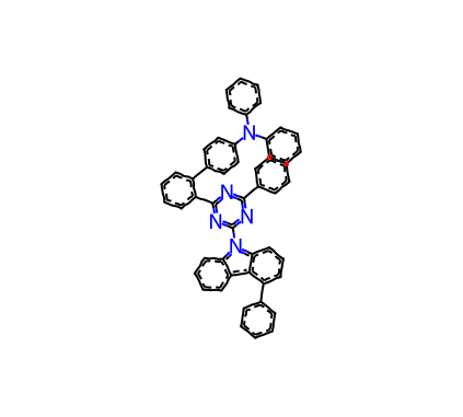 c1ccc(-c2nc(-c3ccccc3-c3ccc(N(c4ccccc4)c4ccccc4)cc3)nc(-n3c4ccccc4c4c(-c5ccccc5)cccc43)n2)cc1